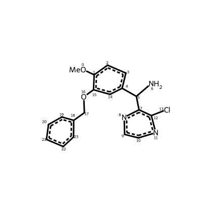 COc1ccc(C(N)c2nccnc2Cl)cc1OCc1ccccc1